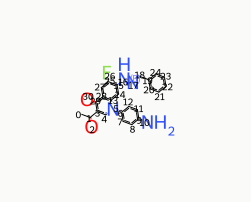 CC(=O)c1cn(-c2ccc(N)cc2)c2cc(N/N=C/c3ccccc3)c(F)cc2c1=O